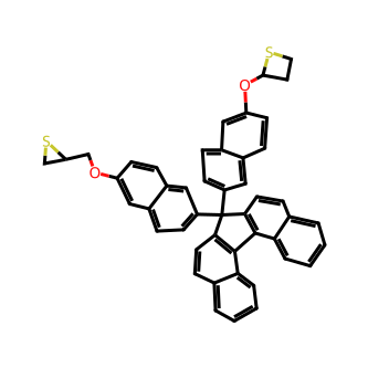 c1ccc2c3c(ccc2c1)C(c1ccc2cc(OCC4CS4)ccc2c1)(c1ccc2cc(OC4CCS4)ccc2c1)c1ccc2ccccc2c1-3